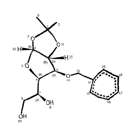 CC1(C)O[C@H]2O[C@H]([C@@H](O)CO)[C@H](OCc3ccccc3)[C@H]2O1